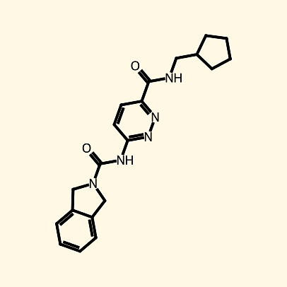 O=C(NCC1CCCC1)c1ccc(NC(=O)N2Cc3ccccc3C2)nn1